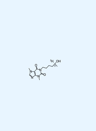 [2H][C@@](C)(O)CCCCn1c(=O)c2c(ncn2C)n(C)c1=O